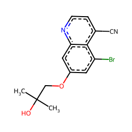 CC(C)(O)COc1cc(Br)c2c(C#N)ccnc2c1